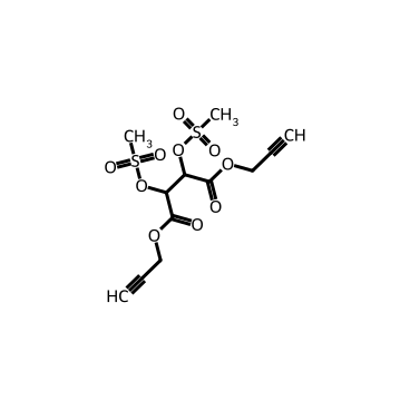 C#CCOC(=O)C(OS(C)(=O)=O)C(OS(C)(=O)=O)C(=O)OCC#C